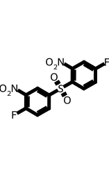 O=[N+]([O-])c1cc(S(=O)(=O)c2ccc(F)cc2[N+](=O)[O-])ccc1F